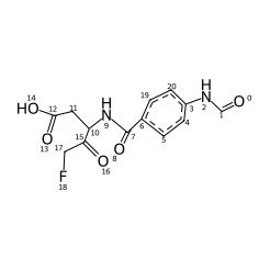 O=CNc1ccc(C(=O)NC(CC(=O)O)C(=O)CF)cc1